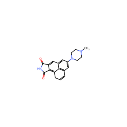 CN1CCN(c2cc3c4c(c5c(cc4c2)C(=O)NC5=O)CC=C3)CC1